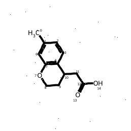 Cc1ccc2c(c1)OCCC2CC(=O)O